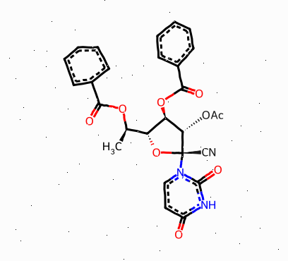 CC(=O)O[C@H]1[C@H](OC(=O)c2ccccc2)[C@@H]([C@@H](C)OC(=O)c2ccccc2)O[C@@]1(C#N)n1ccc(=O)[nH]c1=O